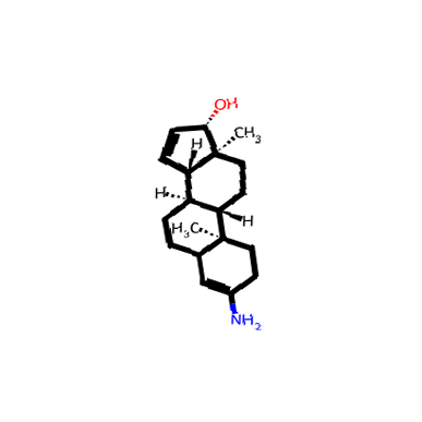 C[C@]12CC[C@H]3[C@@H](CCC4C=C(N)CC[C@@]43C)[C@@H]1C=C[C@@H]2O